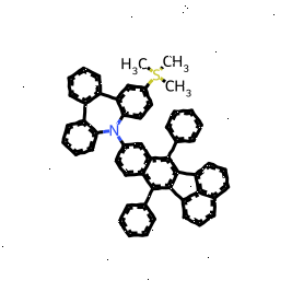 CS(C)(C)c1ccc2c(c1)-c1ccccc1-c1ccccc1N2c1ccc2c(-c3ccccc3)c3c(c(-c4ccccc4)c2c1)-c1cccc2cccc-3c12